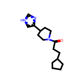 O=C(CCC1CCCC1)N1CCC(c2c[nH]cn2)CC1